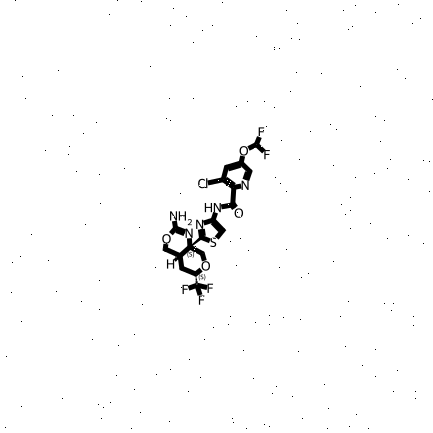 NC1=N[C@]2(c3nc(NC(=O)c4ncc(OC(F)F)cc4Cl)cs3)CO[C@H](C(F)(F)F)C[C@@H]2CO1